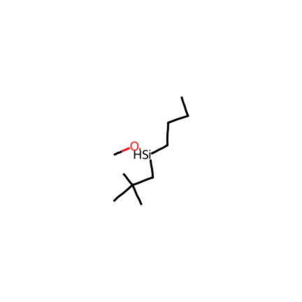 CCCC[SiH](CC(C)(C)C)OC